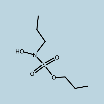 CCCOS(=O)(=O)N(O)CCC